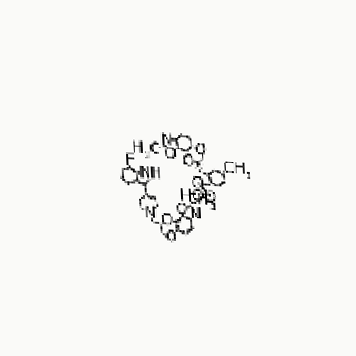 Cc1ccc(S(=O)(=O)O)c(C[C@@H]2COc3ccc4nc(C)oc4c3O2)c1.Cc1nc2ccc3c(c2o1)OC(CN1CC=C(c2c[nH]c4c(F)cccc24)CC1)CO3